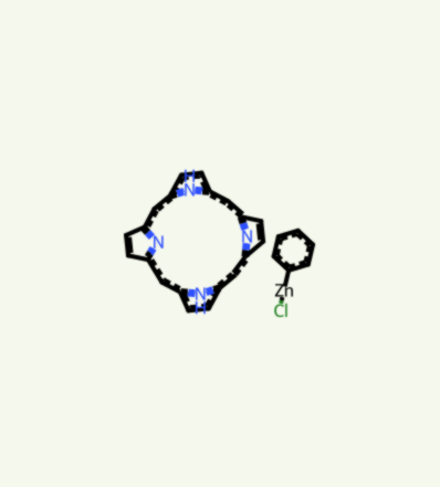 C1=Cc2cc3ccc(cc4nc(cc5ccc(cc1n2)[nH]5)C=C4)[nH]3.[Cl][Zn][c]1ccccc1